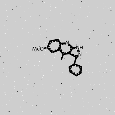 COc1ccc2nc3[nH]nc(-c4ccccc4)c3c(C)c2c1